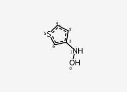 ONc1c[c]sc1